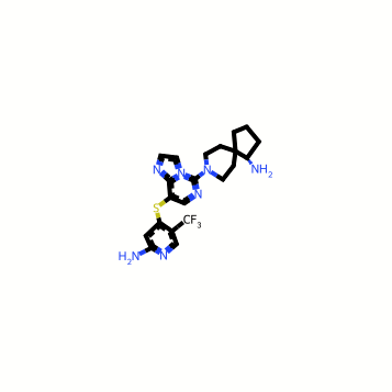 Nc1cc(Sc2cnc(N3CCC4(CCC[C@H]4N)CC3)n3ccnc23)c(C(F)(F)F)cn1